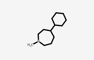 CN1CCCC(C2CCCCC2)CC1